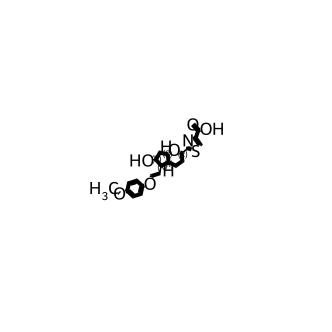 COc1ccc(OCC[C@@H]2[C@H]3CC[C@H](c4nc(C(=O)O)cs4)O[C@H]3C[C@H]2O)cc1